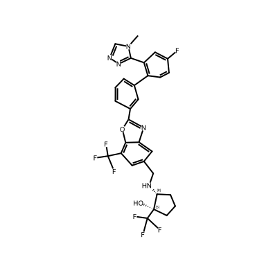 Cn1cnnc1-c1cc(F)ccc1-c1cccc(-c2nc3cc(CN[C@@H]4CCC[C@@]4(O)C(F)(F)F)cc(C(F)(F)F)c3o2)c1